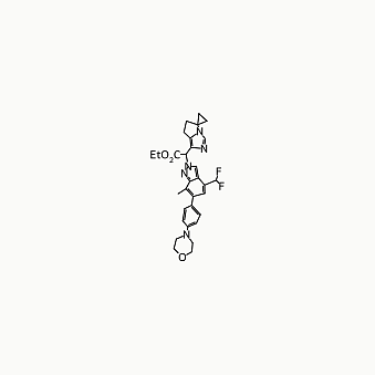 CCOC(=O)C(c1ncn2c1CCC21CC1)n1cc2c(C(F)F)cc(-c3ccc(N4CCOCC4)cc3)c(C)c2n1